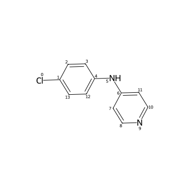 Clc1ccc(Nc2ccncc2)cc1